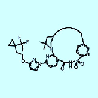 CC1(C)CC2CCCCCc3ccc(nc3)S(=O)(=O)NC(=O)c3ccc(-n4ccc(OCCC5(C(F)(F)F)CC5)n4)nc3N1C2